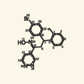 Cc1ccccc1C(CC(=NO)c1ccnnc1)c1ccc(Br)cc1